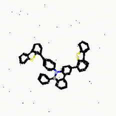 c1ccc(B2c3ccccc3-c3cc(-c4cccc5c4sc4ccccc45)ccc3N2c2ccc(-c3cccc4c3sc3ccccc34)cc2)cc1